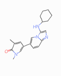 Cc1cc(-c2ccc3ncc(NC4CCCCC4)n3c2)cn(C)c1=O